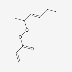 C=CC(=O)OOC(C)/C=C/CC